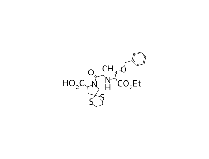 CCOC(=O)[C@H](COCc1ccccc1)N[C@@H](C)C(=O)N1CC2(CC1C(=O)O)SCCS2